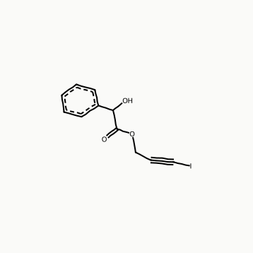 O=C(OCC#CI)C(O)c1ccccc1